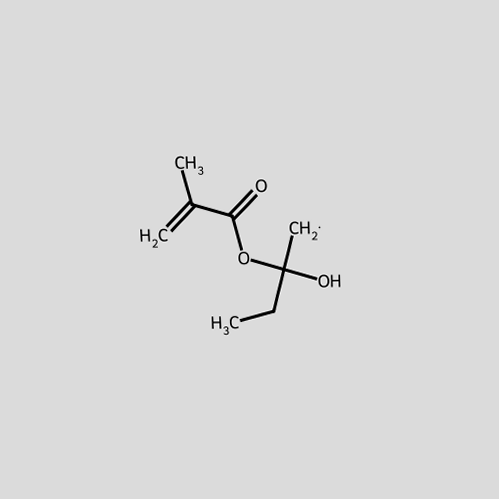 [CH2]C(O)(CC)OC(=O)C(=C)C